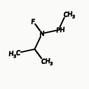 CPN(F)C(C)C